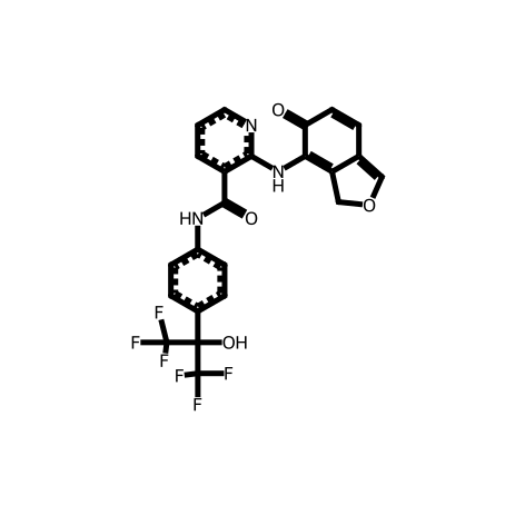 O=C1C=CC2=COCC2=C1Nc1ncccc1C(=O)Nc1ccc(C(O)(C(F)(F)F)C(F)(F)F)cc1